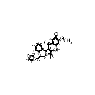 COc1ccc(C(=O)C2=C(O)C(=O)N(CCCn3ccnc3)C2c2ccccc2)cc1Cl